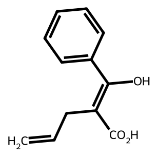 C=CCC(C(=O)O)=C(O)c1ccccc1